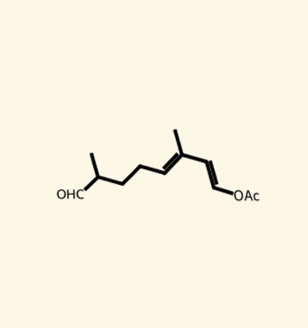 CC(=O)OC=CC(C)=CCCC(C)C=O